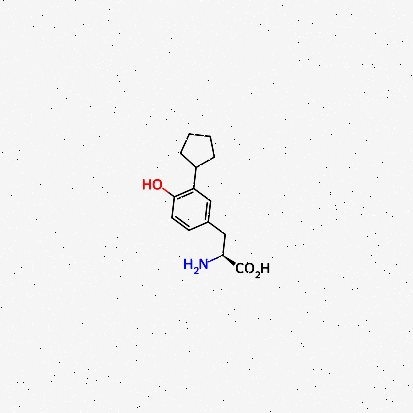 N[C@@H](Cc1ccc(O)c(C2CCCC2)c1)C(=O)O